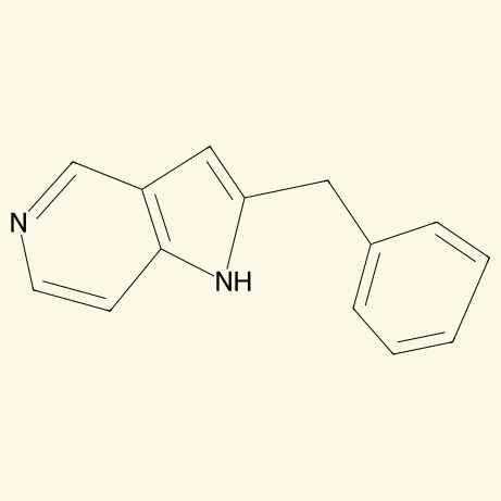 c1ccc(Cc2cc3cnccc3[nH]2)cc1